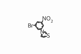 O=[N+]([O-])c1cccc(Br)c1.c1cscn1